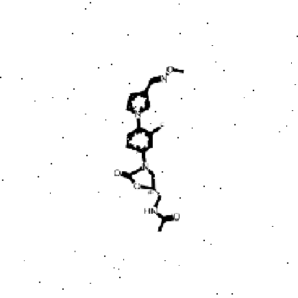 CON=Cc1ccn(-c2ccc(N3C[C@H](CNC(C)=O)OC3=O)cc2F)c1